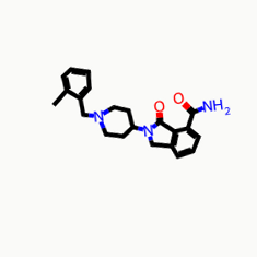 Cc1ccccc1CN1CCC(N2Cc3cccc(C(N)=O)c3C2=O)CC1